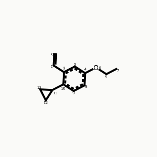 C=Cc1cc(OCC)ccc1C1CC1